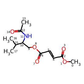 COC(=O)/C=C/C(=O)OCC(NC(C)=O)C(C)C